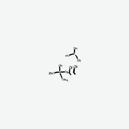 CC#N.CC#N.CO[Si](O)(OC)OC.OP(O)O